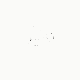 CO[C@@H]1CO[C@@H]2O[Si](C(C)(C)C)(C(C)(C)C)O[C@H]21